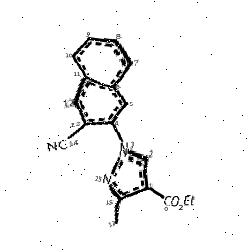 CCOC(=O)c1cn(-c2cc3ccccc3cc2C#N)nc1C